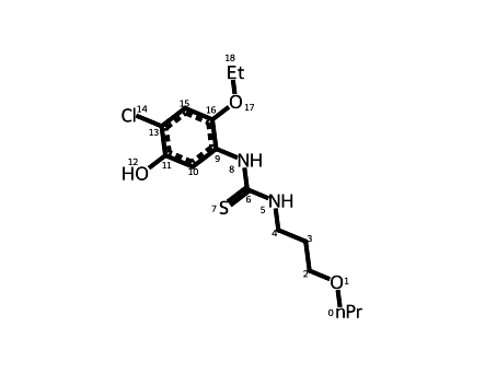 CCCOCCCNC(=S)Nc1cc(O)c(Cl)cc1OCC